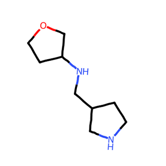 C1CC(CNC2CCOC2)CN1